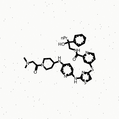 CCCC(O)(CNC(=O)c1cc(Sc2csc(Nc3ccc(NC4CCN(C(=O)CN(C)C)CC4)cn3)n2)ccn1)c1ccccc1